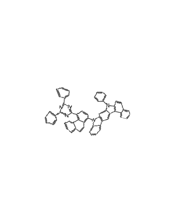 c1ccc(-c2nc(-c3ccccc3)nc(-c3ccc(-n4c5ccccc5c5cc6c7c8ccccc8ccc7n(-c7ccccc7)c6cc54)c4ccc5ccccc5c34)n2)cc1